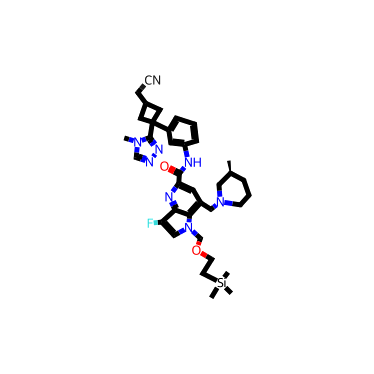 C[C@H]1CCCN(Cc2cc(C(=O)Nc3cccc(C4(c5nncn5C)CC(CC#N)C4)c3)nc3c(F)cn(COCC[Si](C)(C)C)c23)C1